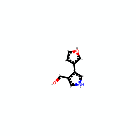 O=Cc1c[nH]cc1-c1ccoc1